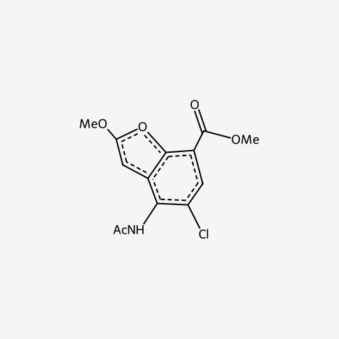 COC(=O)c1cc(Cl)c(NC(C)=O)c2cc(OC)oc12